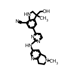 CN1CCc2ncc(Nc3nccc(-c4cc(C#N)c5c(c4)C(C)(CO)CN5)n3)cc2C1